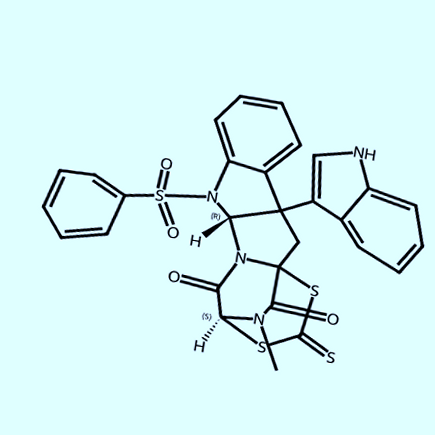 CN1C(=O)C23CC4(c5c[nH]c6ccccc56)c5ccccc5N(S(=O)(=O)c5ccccc5)[C@H]4N2C(=O)[C@@H]1SC(=S)S3